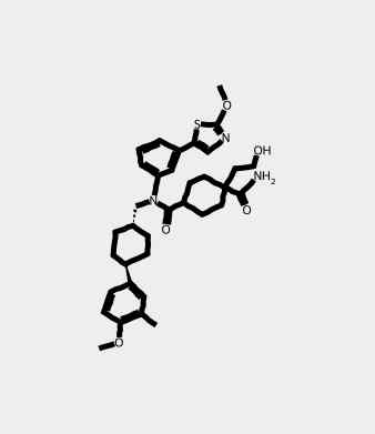 COc1ncc(-c2cccc(N(C[C@H]3CC[C@H](c4ccc(OC)c(C)c4)CC3)C(=O)C3CCC(CCO)(C(N)=O)CC3)c2)s1